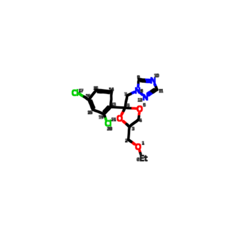 CCOCC1COC(Cn2cncn2)(c2ccc(Cl)cc2Cl)O1